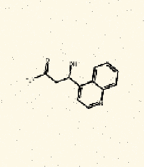 NC(=O)CC(O)c1ccnc2ccccc12